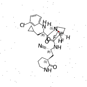 N#C[C@@H](C[C@@H]1CCCNC1=O)NC(=O)[C@@H]1[C@@H]2CC[C@@H](CC2(F)F)N1C(=O)[C@@H](CC1CC1)Nc1cccc(Cl)c1